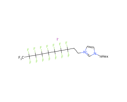 CCCCCCn1cc[n+](CCC(F)(F)C(F)(F)C(F)(F)C(F)(F)C(F)(F)C(F)(F)C(F)(F)C(F)(F)F)c1.[I-]